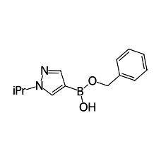 CC(C)n1cc(B(O)OCc2ccccc2)cn1